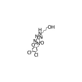 Cn1c(NCCCCO)nc2c1c(=O)n(Cc1ccc(Cl)c(Cl)c1)c(=O)n2C